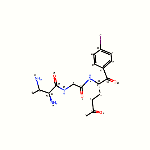 CC(=O)CC[C@H](NC(=O)CNC(=O)[C@@H](N)C(C)N)C(=O)c1ccc(I)cc1